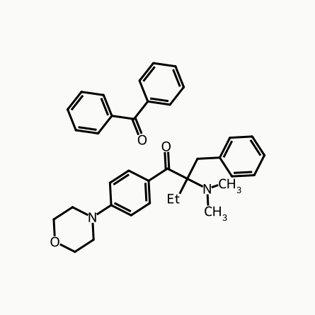 CCC(Cc1ccccc1)(C(=O)c1ccc(N2CCOCC2)cc1)N(C)C.O=C(c1ccccc1)c1ccccc1